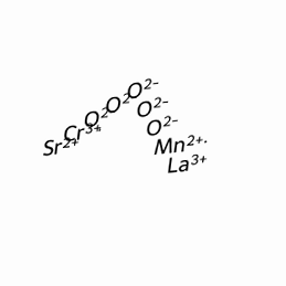 [Cr+3].[La+3].[Mn+2].[O-2].[O-2].[O-2].[O-2].[O-2].[Sr+2]